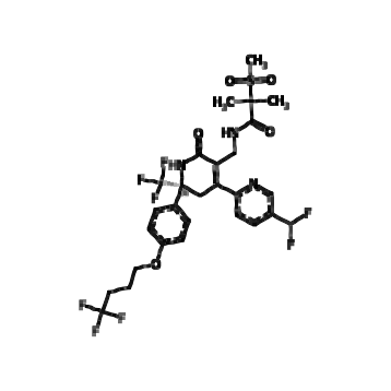 CC(C)(C(=O)NCC1=C(c2ccc(C(F)F)cn2)C[C@](c2ccc(OCCCC(F)(F)F)cc2)(C(F)(F)F)NC1=O)S(C)(=O)=O